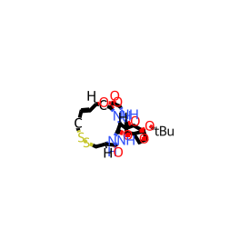 CC(C)(C)OC(=O)CC[C@H]1NC(=O)C[C@H]2/C=C/CCSSC[C@@H](NC1=O)C(=O)NC(C1CCC1)C(=O)NCC(=O)O2